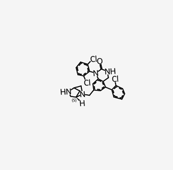 O=C1NCc2c(-c3ccccc3Cl)cc(CN3CC4C[C@H]3CN4)cc2N1c1c(Cl)cccc1Cl